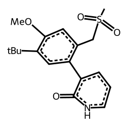 COc1cc(CS(C)(=O)=O)c(-c2ccc[nH]c2=O)cc1C(C)(C)C